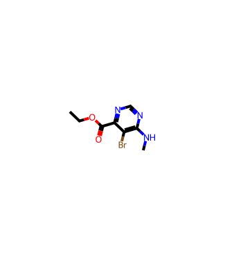 CCOC(=O)c1ncnc(NC)c1Br